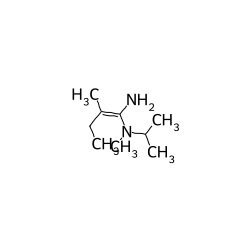 CCC(C)=C(N)N(C)C(C)C